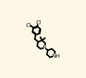 CC1(C)CN(C2CCNCC2)CCC1Cc1ccc(Cl)c(Cl)c1